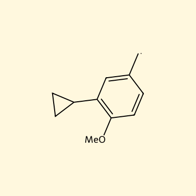 [CH2]c1ccc(OC)c(C2CC2)c1